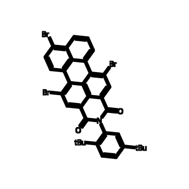 CC(C)(C)c1ccc(C(C)(C)C)c(N2C(=O)c3cc(Br)c4c5cccc6c(Br)ccc(c7c(Br)cc(c3c47)C2=O)c65)c1